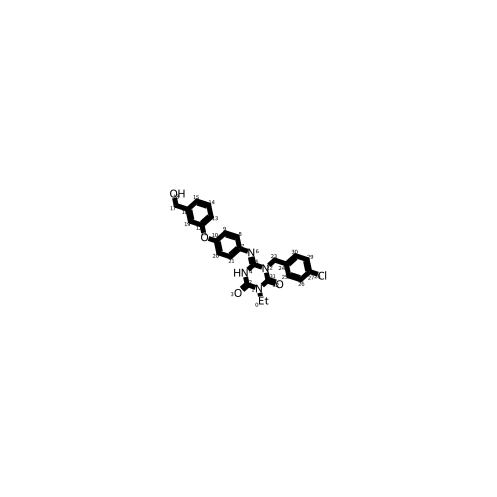 CCn1c(=O)[nH]/c(=N\c2ccc(Oc3cccc(CO)c3)cc2)n(Cc2ccc(Cl)cc2)c1=O